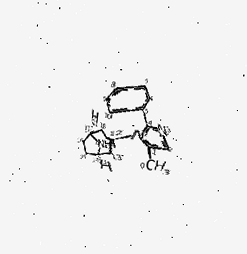 Cc1cnc(-c2ccccc2)n1[C@H]1C[C@H]2CC[C@@H](C1)N2